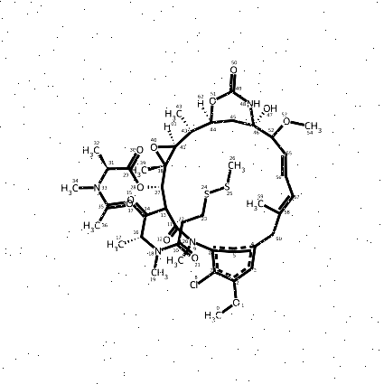 COc1cc2cc(c1Cl)N(C)C(=O)C(C(=O)[C@@H](C)N(C)C(=O)CCSSC)[C@H](OC(=O)[C@H](C)N(C)C(C)=O)[C@]1(C)O[C@H]1[C@H](C)[C@@H]1C[C@@](O)(NC(=O)O1)C(OC)/C=C/C=C(\C)C2